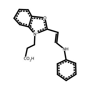 O=C(O)CC[n+]1c(/C=C/Nc2ccccc2)oc2ccccc21